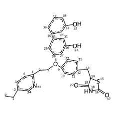 CCc1ccc(CCOc2ccc(CC3SC(=O)NC3=O)cc2)nc1.Oc1ccccc1.Oc1ccccc1